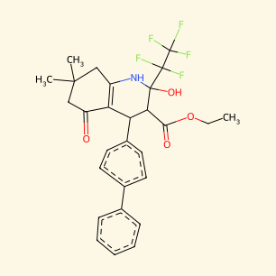 CCOC(=O)C1C(c2ccc(-c3ccccc3)cc2)C2=C(CC(C)(C)CC2=O)NC1(O)C(F)(F)C(F)(F)F